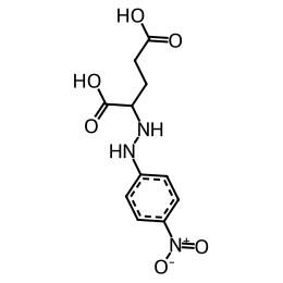 O=C(O)CCC(NNc1ccc([N+](=O)[O-])cc1)C(=O)O